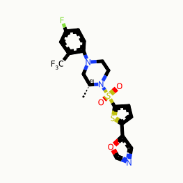 C[C@@H]1CN(c2ccc(F)cc2C(F)(F)F)CCN1S(=O)(=O)c1ccc(-c2cnco2)s1